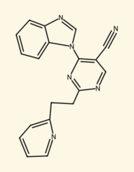 N#Cc1cnc(CCc2ccccn2)nc1-n1cnc2ccccc21